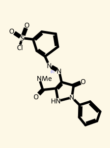 CNC(=O)c1[nH]n(-c2ccccc2)c(=O)c1/N=N/c1cccc(S(=O)(=O)Cl)c1